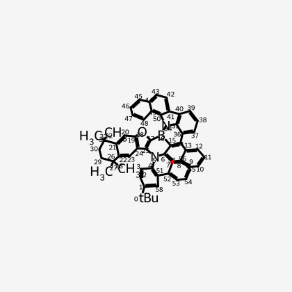 CC(C)(C)c1ccc(N2c3cc4ccccc4c4c3B(c3oc5cc6c(cc5c32)C(C)(C)CCC6(C)C)n2c3c-4cccc3c3ccc4ccccc4c32)c(-c2ccccc2)c1